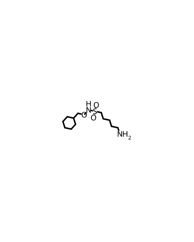 NCCCCCS(=O)(=O)NOCC1CCCCC1